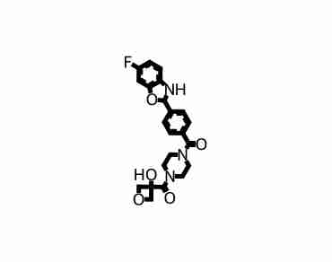 O=C(c1ccc(C2Nc3ccc(F)cc3O2)cc1)N1CCN(C(=O)C2(O)COC2)CC1